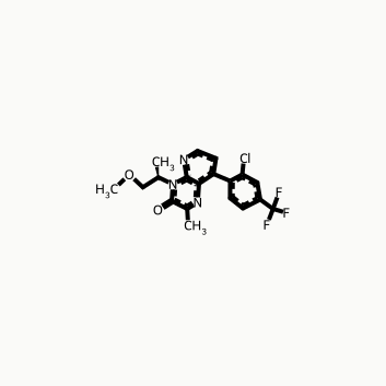 COC[C@@H](C)n1c(=O)c(C)nc2c(-c3ccc(C(F)(F)F)cc3Cl)ccnc21